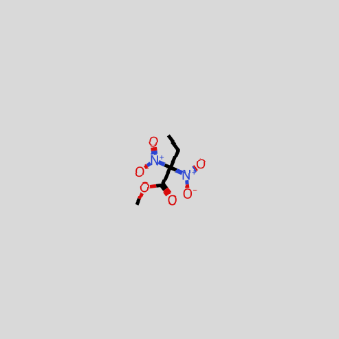 CCC(C(=O)OC)([N+](=O)[O-])[N+](=O)[O-]